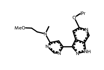 COCCN(C)c1cc(-c2n[nH]c3cnc(OC(C)C)cc23)ncn1